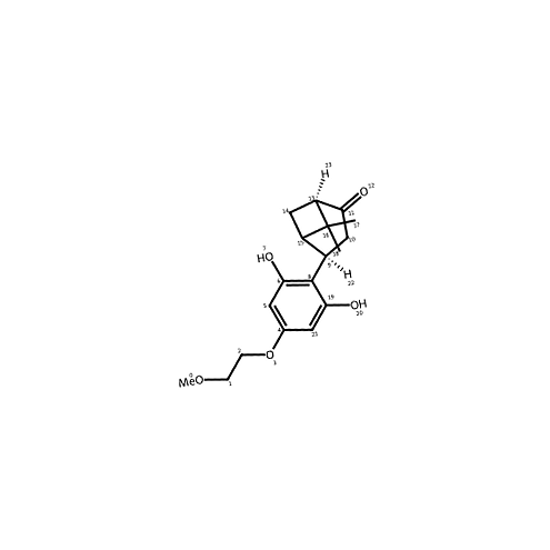 COCCOc1cc(O)c([C@@H]2CC(=O)[C@@H]3CC2C3(C)C)c(O)c1